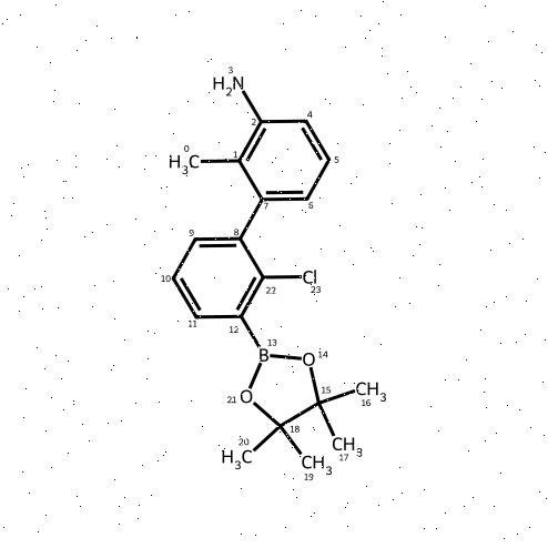 Cc1c(N)cccc1-c1cccc(B2OC(C)(C)C(C)(C)O2)c1Cl